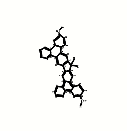 COC1=CC2c3ccccc3-c3cc4c(cc3C2C=C1)C(C)(C)c1cc2c3ccc(OC)cc3c3ccccc3c2cc1-4